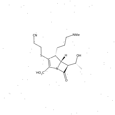 CNCCC[C@H]1C(SCCC#N)=C(C(=O)O)N2C(=O)[C@H]([C@@H](C)O)[C@@H]12